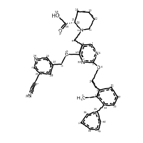 Cc1c(COc2ncc(CN3CCCC[C@H]3C(=O)O)c(OCc3cncc(C#N)c3)n2)cccc1-c1ccccc1